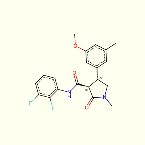 COc1cc(C)cc([C@@H]2CN(C)C(=O)[C@H]2C(=O)Nc2cccc(F)c2F)c1